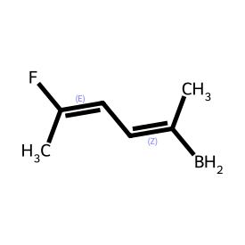 B/C(C)=C/C=C(\C)F